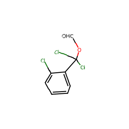 O=[C]OC(Cl)(Cl)c1ccccc1Cl